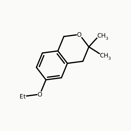 CCOc1ccc2c(c1)CC(C)(C)OC2